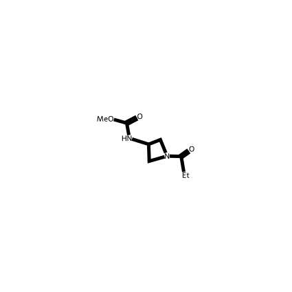 CCC(=O)N1CC(NC(=O)OC)C1